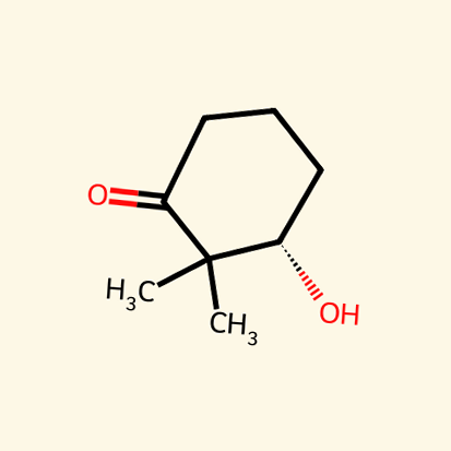 CC1(C)C(=O)CCC[C@@H]1O